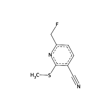 CSc1nc(CF)ccc1C#N